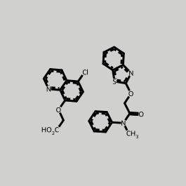 CN(C(=O)COc1nc2ccccc2s1)c1ccccc1.O=C(O)COc1ccc(Cl)c2cccnc12